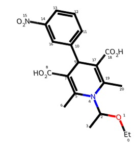 CCOC(C)N1C(C)=C(C(=O)O)C(c2cccc([N+](=O)[O-])c2)C(C(=O)O)=C1C